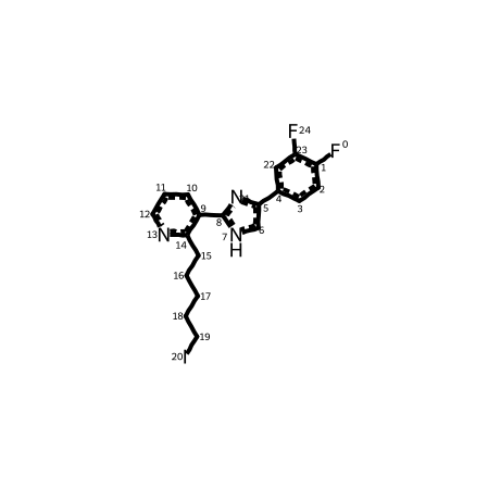 Fc1ccc(-c2c[nH]c(-c3cccnc3CCCCCI)n2)cc1F